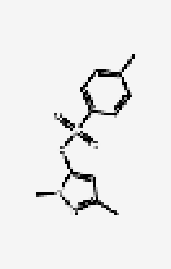 Cc1ccc(S(=O)(=O)Oc2[c]c(C)nn2C)cc1